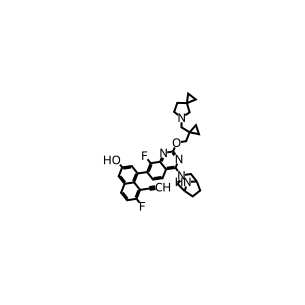 C#Cc1c(F)ccc2cc(O)cc(-c3ccc4c(N5CC6CCC(C5)N6)nc(OCC5(CN6CCC7(CC7)C6)CC5)nc4c3F)c12